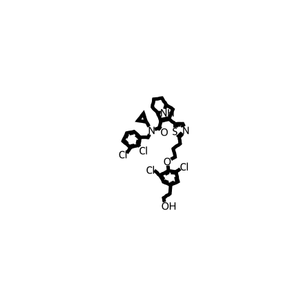 O=C(C1=C(c2cnc(CCCOc3c(Cl)cc(CCO)cc3Cl)s2)CC2CCCC1N2)N(Cc1cccc(Cl)c1Cl)C1CC1